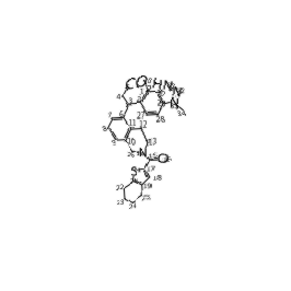 Cc1c(C(CC(=O)O)c2cccc3c2CCN(C(=O)c2cc4c(s2)CCCC4)C3)ccc2c1nnn2C